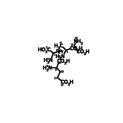 CC(C)C(N)C(=O)O.CC(N)C(=O)O.NC(CCC(=O)O)C(=O)O.NCC(=O)O